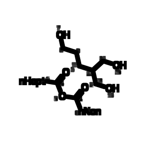 CCCCCCCCCC(=O)OC(=O)CCCCCCC.OCCCC(CO)CO